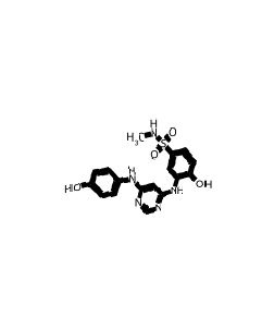 CNS(=O)(=O)c1ccc(O)c(Nc2cc(Nc3ccc(O)cc3)ncn2)c1